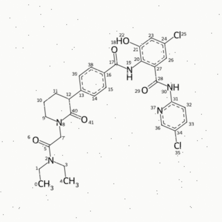 CCN(CC)C(=O)CN1CCCC(c2ccc(C(=O)Nc3c(O)cc(Cl)cc3C(=O)Nc3ccc(Cl)cn3)cc2)C1=O